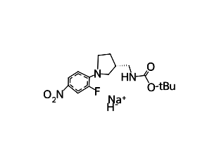 CC(C)(C)OC(=O)NC[C@H]1CCN(c2ccc([N+](=O)[O-])cc2F)C1.[H-].[Na+]